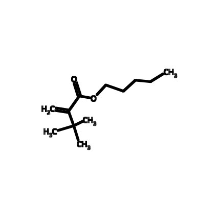 C=C(C(=O)OCCCCC)C(C)(C)C